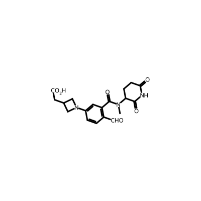 CN(C(=O)c1cc(N2CC(CC(=O)O)C2)ccc1C=O)C1CCC(=O)NC1=O